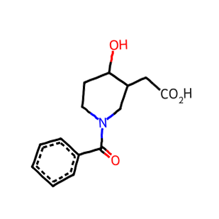 O=C(O)CC1CN(C(=O)c2ccccc2)CCC1O